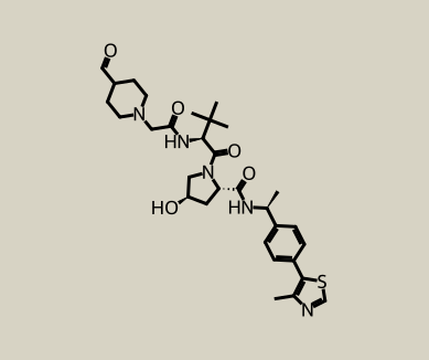 Cc1ncsc1-c1ccc([C@H](C)NC(=O)[C@@H]2C[C@@H](O)CN2C(=O)[C@@H](NC(=O)CN2CCC(C=O)CC2)C(C)(C)C)cc1